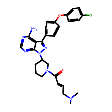 CN(C)CC=CC(=O)N1CCCC(n2nc(-c3ccc(Oc4ccc(Cl)cc4)cc3)c3c(N)ncnc32)C1